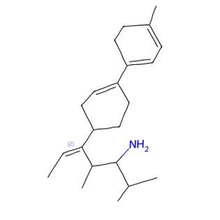 C/C=C(/C1CC=C(C2=CC=C(C)CC2)CC1)C(C)C(N)C(C)C